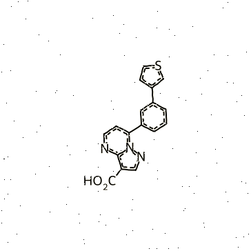 O=C(O)c1cnn2c(-c3cccc(-c4ccsc4)c3)ccnc12